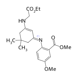 CCOC(=O)CNC1=C/C(=N/c2ccc(OC)cc2C(=O)OC)CC(C)(C)C1